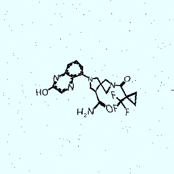 NC(=O)C1CN(c2cccc3nc(O)cnc23)CC12CN(C(=O)C1(C(F)(F)F)CC1)C2